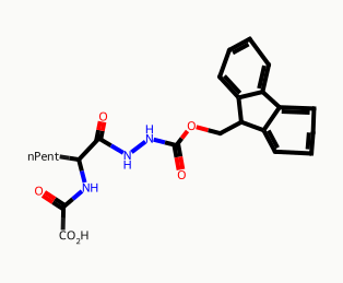 CCCCCC(NC(=O)C(=O)O)C(=O)NNC(=O)OCC1c2ccccc2-c2ccccc21